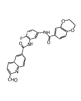 O=Cc1ccc2cc(C(=O)Nc3cc(NC(=O)c4ccc5c(c4)OCCO5)ccc3F)ccc2n1